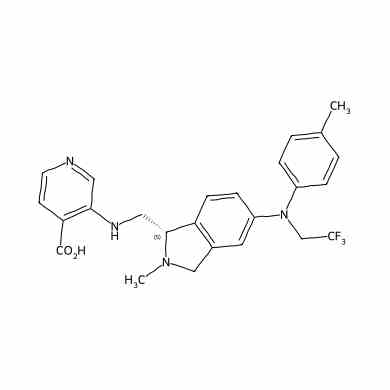 Cc1ccc(N(CC(F)(F)F)c2ccc3c(c2)CN(C)[C@@H]3CNc2cnccc2C(=O)O)cc1